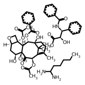 CC(=O)O[C@H]1C(=O)[C@@]2(C)[C@H]([C@H](OC(=O)c3ccccc3)[C@]3(O)C[C@H](OC(=O)[C@H](O)[C@@H](NC(=O)c4ccccc4)c4ccccc4)C(C)=C1C3(C)C)[C@]1(OC(C)=O)CO[C@@H]1C[C@@H]2O.CCCCCC(N)N